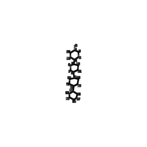 CC1CCC(C2CCC(C3CCC(C4CCCCC4)CC3)CC2)CC1